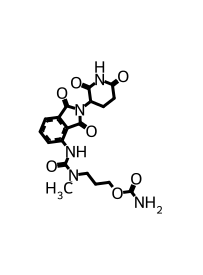 CN(CCCOC(N)=O)C(=O)Nc1cccc2c1C(=O)N(C1CCC(=O)NC1=O)C2=O